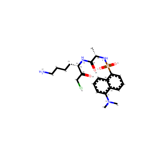 C[C@H](NS(=O)(=O)c1cccc2c(N(C)C)cccc12)C(=O)N[C@@H](CCCCN)C(=O)CCl